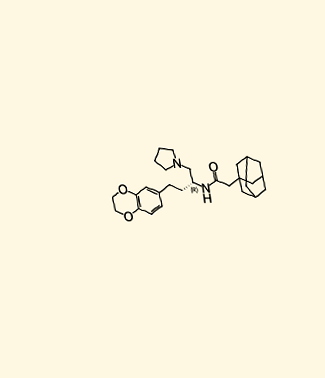 O=C(CC12CC3CC(CC(C3)C1)C2)N[C@H](CCc1ccc2c(c1)OCCO2)CN1CCCC1